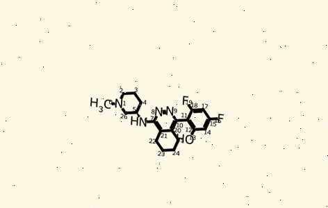 CN1CCC[C@@H](Nc2nnc(-c3c(O)cc(F)cc3F)c3c2CCCC3)C1